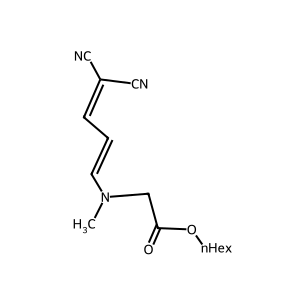 CCCCCCOC(=O)CN(C)/C=C/C=C(C#N)C#N